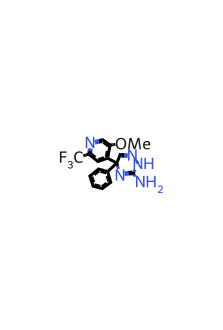 COc1cnc(C(F)(F)F)cc1C1(c2ccccc2)C=NNC(N)=N1